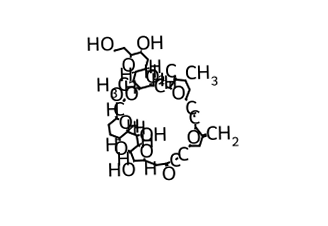 C=C1CC2CCC(=O)C[C@H]3O[C@H]4[C@@H](O)[C@H]5O[C@H](CC[C@@H]5O[C@H]4[C@H]3O)CC(=O)O[C@@H]3[C@@H](C)[C@@H]4OC(CCO)[C@H](O)C[C@@H]4O[C@H]3C[C@H]3OC(CCC1O2)C[C@@H](C)C3=C